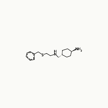 N[C@H]1CC[C@H](CNCCSCc2ccccc2)CC1